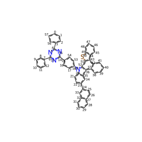 c1ccc(-c2nc(-c3ccccc3)nc(-c3ccc(-n4c5ccc(-c6ccc7ccccc7c6)cc5c5c6ccccc6c6c7ccccc7sc6c54)cc3)n2)cc1